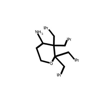 CC(C)CC1(CC(C)C)OCCC(N)C1(CC(C)C)CC(C)C